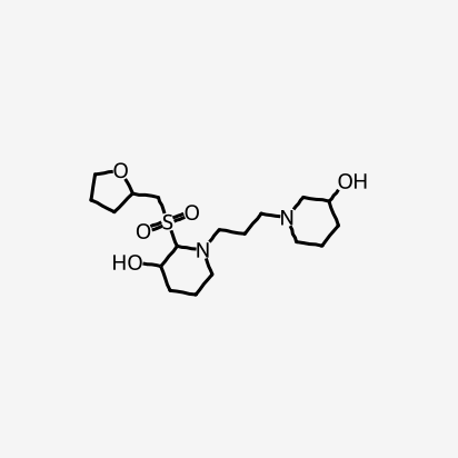 O=S(=O)(CC1CCCO1)C1C(O)CCCN1CCCN1CCCC(O)C1